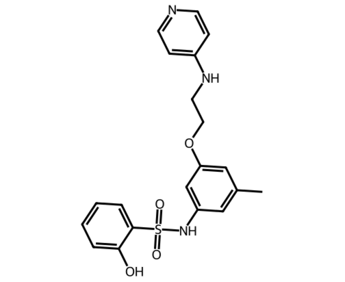 Cc1cc(NS(=O)(=O)c2ccccc2O)cc(OCCNc2ccncc2)c1